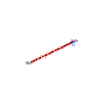 CC(C)NC(=O)CCOCCOCCOCCOCCOCCOCCOCCOCCOCCOCCOCCOCCOCC(C)(C)C